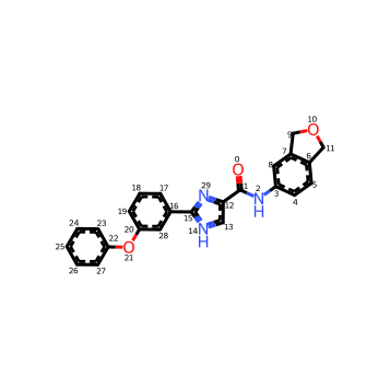 O=C(Nc1ccc2c(c1)COC2)c1c[nH]c(-c2cccc(Oc3ccccc3)c2)n1